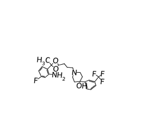 CC1(c2ccc(F)cc2N)OC(CCCN2CCC(O)(c3cccc(C(F)(F)F)c3)CC2)O1